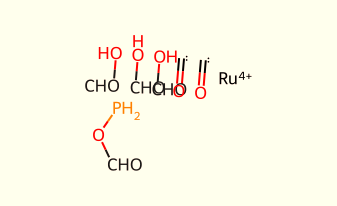 O=[C-]O.O=[C-]O.O=[C-]O.O=[C-]OP.[C]=O.[C]=O.[Ru+4]